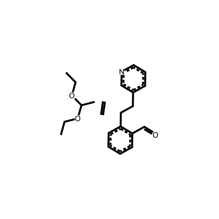 C=C.CCOC(C)OCC.O=Cc1ccccc1CCc1cccnc1